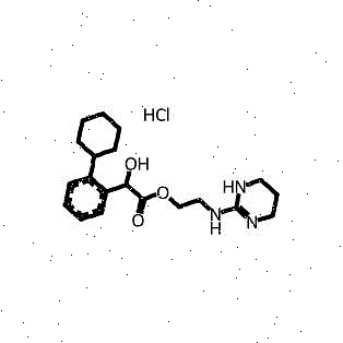 Cl.O=C(OCCNC1=NCCCN1)C(O)c1ccccc1C1CCCCC1